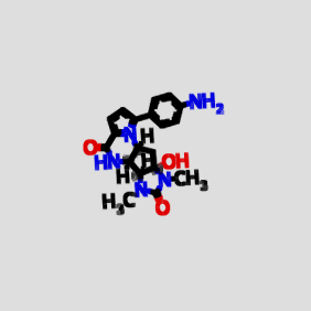 CN1C(=O)N(C)[C@]2(O)C[C@@H]3[C@@H](NC(=O)c4ccc(-c5ccc(N)cc5)n43)[C@H]12